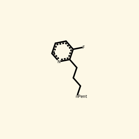 CCCCCCCCc1ncccc1F